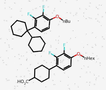 CCCCCCOc1ccc(C2CCC(C(=O)O)CC2)c(F)c1F.CCCCOc1ccc(C2(C3CCCCC3)CCCCC2)c(F)c1F